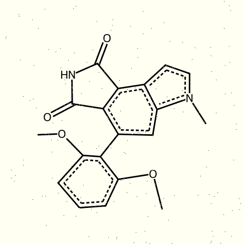 COc1cccc(OC)c1-c1cc2c(ccn2C)c2c1C(=O)NC2=O